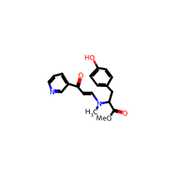 COC(=O)C(Cc1ccc(O)cc1)N(C)C=CC(=O)c1cccnc1